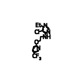 CCc1ncnc(NCCOc2ccc(C(F)(F)F)cn2)c1Cl